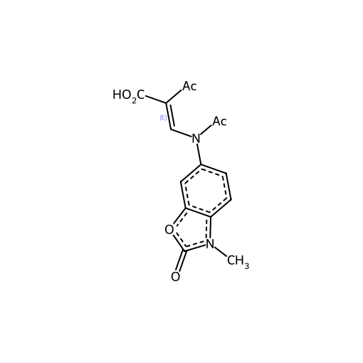 CC(=O)/C(=C\N(C(C)=O)c1ccc2c(c1)oc(=O)n2C)C(=O)O